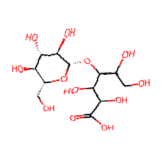 O=C(O)C(O)C(O)C(O[C@@H]1O[C@H](CO)[C@@H](O)[C@H](O)[C@H]1O)C(O)CO